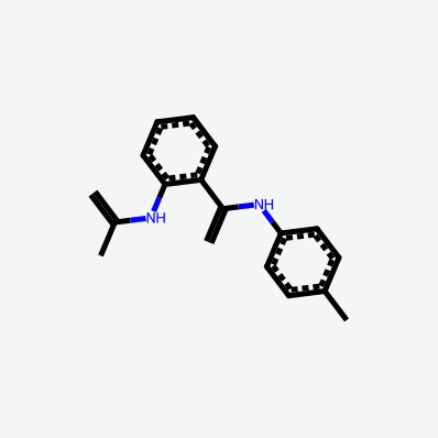 C=C(C)Nc1ccccc1C(=C)Nc1ccc(C)cc1